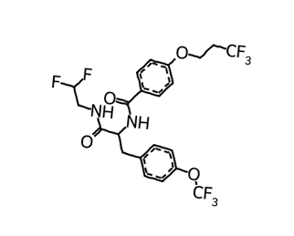 O=C(NC(Cc1ccc(OC(F)(F)F)cc1)C(=O)NCC(F)F)c1ccc(OCCC(F)(F)F)cc1